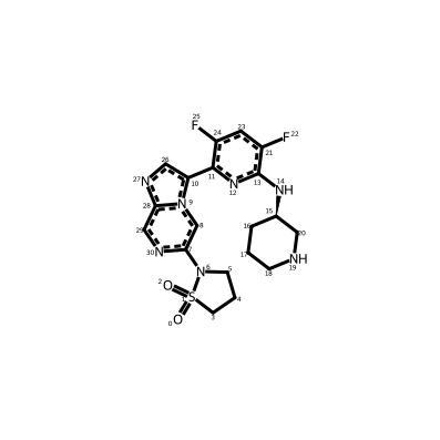 O=S1(=O)CCCN1c1cn2c(-c3nc(N[C@@H]4CCCNC4)c(F)cc3F)cnc2cn1